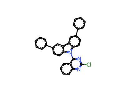 Clc1nc(-n2c3ccc(-c4ccccc4)cc3c3cc(-c4ccccc4)ccc32)c2ccccc2n1